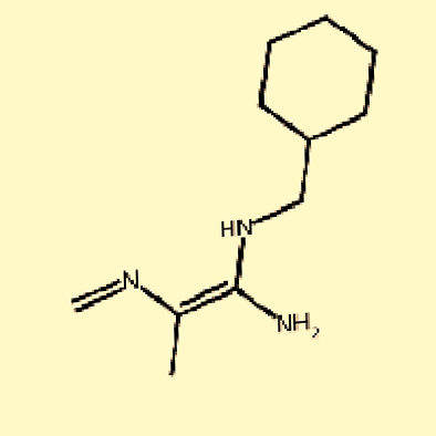 C=N/C(C)=C(/N)NCC1CCCCC1